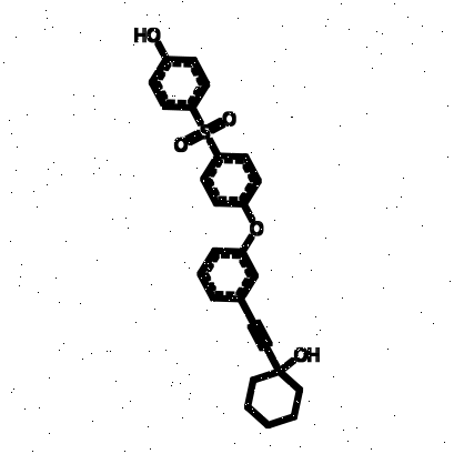 O=S(=O)(c1ccc(O)cc1)c1ccc(Oc2cccc(C#CC3(O)CCCCC3)c2)cc1